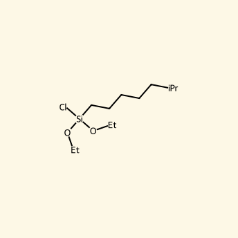 CCO[Si](Cl)(CCCCCC(C)C)OCC